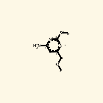 COCc1cc(N)nc(SC)n1